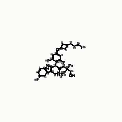 C[C@@H]1Cc2c([nH]c3ccc(F)cc23)C(c2c(F)cc(OC3CN(CCCF)C3)cc2F)N1CC(F)(F)CO